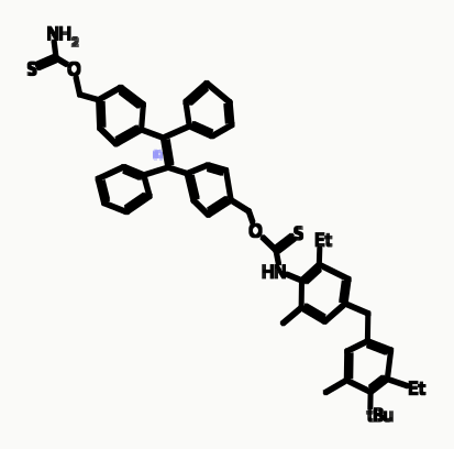 CCc1cc(Cc2cc(C)c(C(C)(C)C)c(CC)c2)cc(C)c1NC(=S)OCc1ccc(/C(=C(\c2ccccc2)c2ccc(COC(N)=S)cc2)c2ccccc2)cc1